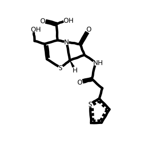 O=C(Cc1cccs1)NC1C(=O)N2C(C(=O)O)C(CO)=CS[C@@H]12